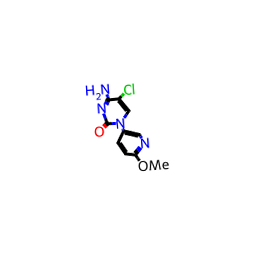 COc1ccc(-n2cc(Cl)c(N)nc2=O)cn1